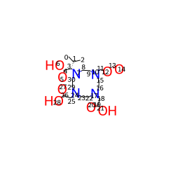 CC(C)[C@@H](C(=O)O)N1CCN(COC=O)CCN(CC(=O)O)CCN(CC(=O)O)CC1